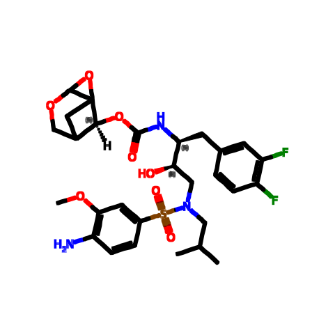 COc1cc(S(=O)(=O)N(CC(C)C)C[C@@H](O)[C@H](Cc2ccc(F)c(F)c2)NC(=O)O[C@H]2C3COC4OC42C3)ccc1N